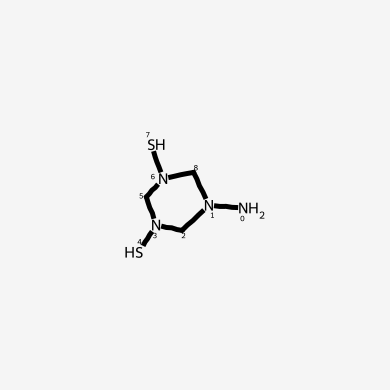 NN1CN(S)CN(S)C1